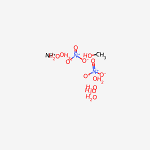 CO.O.O.O.O.O.O.O=[N+]([O-])[O-].O=[N+]([O-])[O-].[Ni+2]